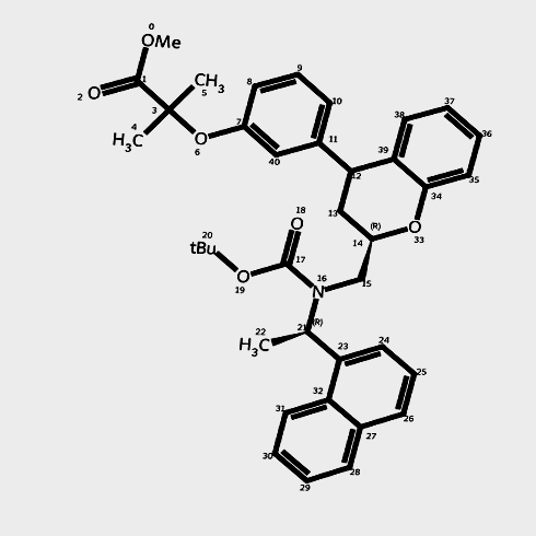 COC(=O)C(C)(C)Oc1cccc(C2C[C@H](CN(C(=O)OC(C)(C)C)[C@H](C)c3cccc4ccccc34)Oc3ccccc32)c1